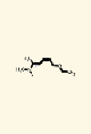 C/C(=C\C=C/COCC(F)(F)F)N(C)F